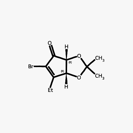 CCC1=C(Br)C(=O)[C@@H]2OC(C)(C)O[C@H]12